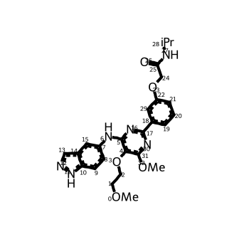 COCCOc1c(Nc2ccc3[nH]ncc3c2)nc(-c2cccc(OCC(=O)NC(C)C)c2)nc1OC